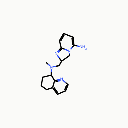 CN(CC1CN2C(N)=CC=CC2=N1)C1CCCc2cccnc21